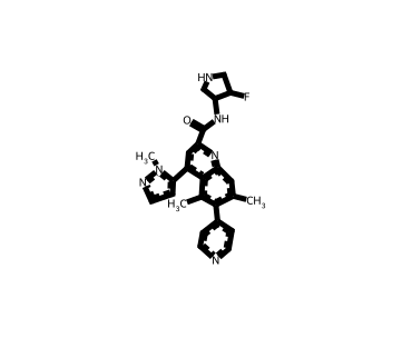 Cc1cc2nc(C(=O)NC3CNCC3F)cc(-c3ccnn3C)c2c(C)c1-c1ccncc1